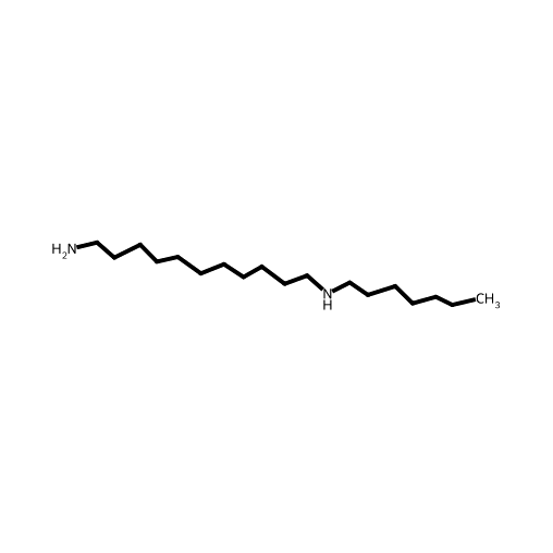 CCCCCCCNCCCCCCCCCCCN